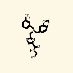 CC(C)CNC(=O)c1csc(CN(Cc2cccc(C(F)(F)F)c2)Cc2ccc3c(c2)OCO3)n1